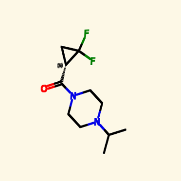 CC(C)N1CCN(C(=O)[C@@H]2CC2(F)F)CC1